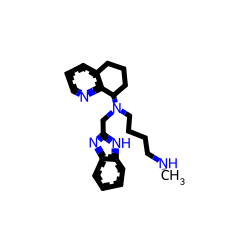 CNCCCCN(Cc1nc2ccccc2[nH]1)C1CCCc2cccnc21